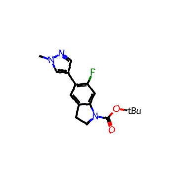 Cn1cc(-c2cc3c(cc2F)N(C(=O)OC(C)(C)C)CC3)cn1